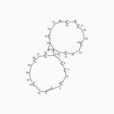 C1=CCCCCCCC(C23CCCCCCCCCCCCCCC2C3)CCCCCCCC1